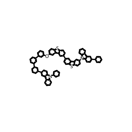 c1ccc(-c2ccc3c(c2)c2ccccc2n3-c2ccc3sc4ccc(-c5ccc6sc7ccc(Oc8cccc(-c9cccc(-c%10cccc(-c%11ccc%12c(c%11)c%11ccccc%11n%12-c%11ccccc%11)c%10)c9)c8)cc7c6c5)cc4c3c2)cc1